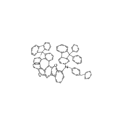 c1ccc(-c2ccc(N(c3ccc4c(c3)C(c3ccccc3)(c3ccccc3)c3ccccc3-4)c3cccc4c3oc3c(-c5cccc6c5-c5ccccc5C65c6ccccc6-c6ccccc65)c5c(cc34)oc3ccccc35)cc2)cc1